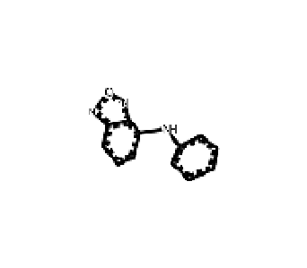 c1ccc(Nc2cccc3nonc23)cc1